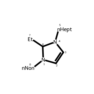 CCCCCCCCCN1C=CN(CCCCCCC)C1CC